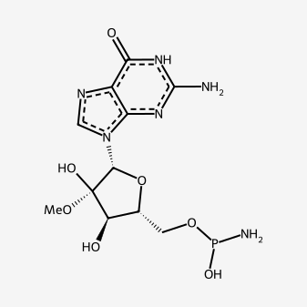 CO[C@@]1(O)[C@H](O)[C@@H](COP(N)O)O[C@H]1n1cnc2c(=O)[nH]c(N)nc21